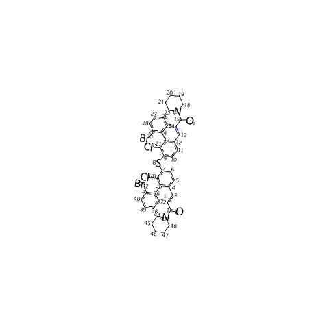 O=C(/C=C/c1ccc(Sc2ccc(/C=C/C(=O)N3CCCCC3)c(-c3ccccc3Br)c2Cl)c(Cl)c1-c1ccccc1Br)N1CCCCC1